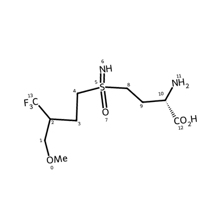 COCC(CCS(=N)(=O)CC[C@H](N)C(=O)O)C(F)(F)F